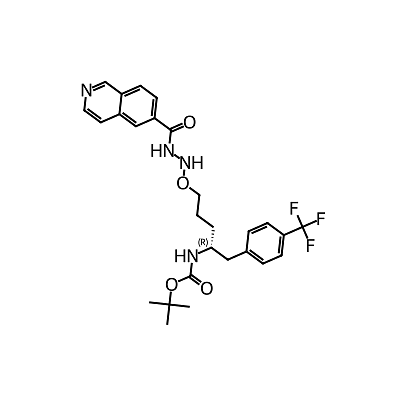 CC(C)(C)OC(=O)N[C@H](CCCONNC(=O)c1ccc2cnccc2c1)Cc1ccc(C(F)(F)F)cc1